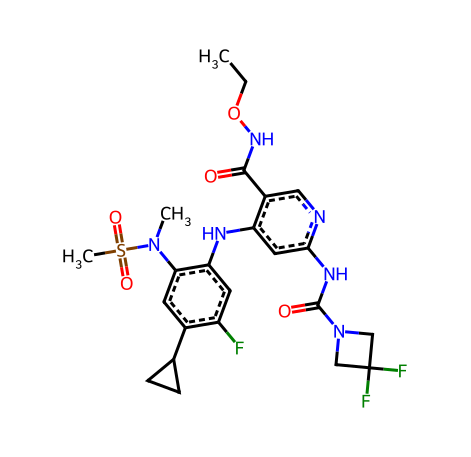 CCONC(=O)c1cnc(NC(=O)N2CC(F)(F)C2)cc1Nc1cc(F)c(C2CC2)cc1N(C)S(C)(=O)=O